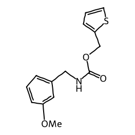 COc1cccc(CNC(=O)OCc2cccs2)c1